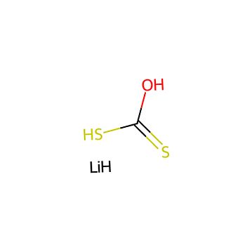 OC(=S)S.[LiH]